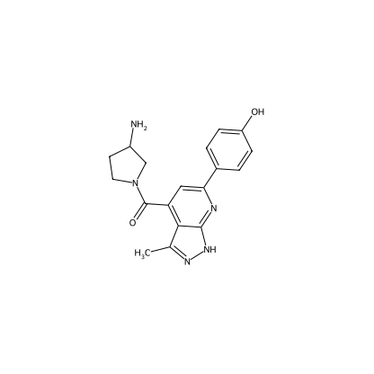 Cc1n[nH]c2nc(-c3ccc(O)cc3)cc(C(=O)N3CCC(N)C3)c12